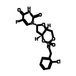 O=c1[nH]c(=O)n([C@H]2C[C@@H]3OP(=O)(OCc4ccccc4Cl)OC[C@H]3O2)cc1F